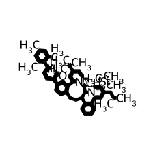 C=C1C2C(CCc3ccc4c(oc5nc(-c6c(C)cc(C)cc6C)ccc54)c3-c3cc(C(C)(C)C)cc[n+]31)c1ccccc1-c1cc(CC(C)C)c([Si](C)(C)C)c[n+]12